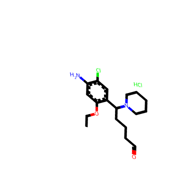 CCOc1cc(N)c(Cl)cc1C(CCCC=O)N1CCCCC1.Cl